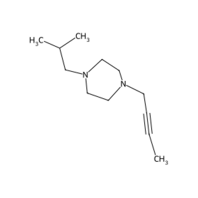 CC#CCN1CCN(CC(C)C)CC1